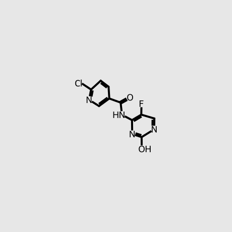 O=C(Nc1nc(O)ncc1F)c1ccc(Cl)nc1